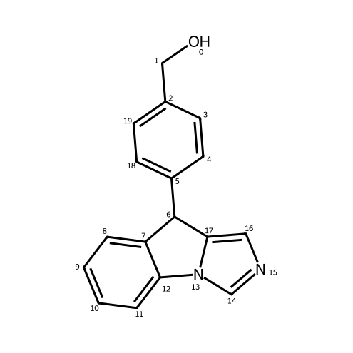 OCc1ccc(C2c3ccccc3-n3cncc32)cc1